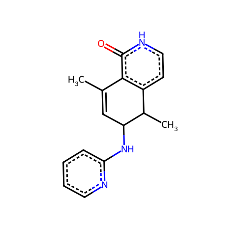 CC1=CC(Nc2ccccn2)C(C)c2cc[nH]c(=O)c21